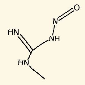 CNC(=N)NN=O